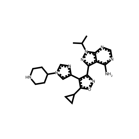 CC(C)n1nc(-c2noc(C3CC3)c2-c2cn(C3CCNCC3)cn2)c2c(N)ncnc21